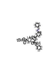 CC(C)(C)OC(=O)N1CCC(c2[nH]c(-c3ccnc(/C=C/c4ccccc4)c3)cc2C(=O)NCc2ccccc2)CC1